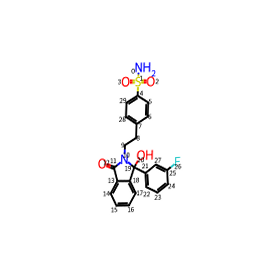 NS(=O)(=O)c1ccc(CCN2C(=O)c3ccccc3C2(O)c2cccc(F)c2)cc1